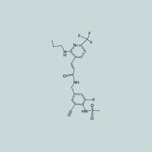 C#Cc1cc(CNC(=O)C=Cc2ccc(C(F)(F)F)nc2NCCC)cc(F)c1NS(C)(=O)=O